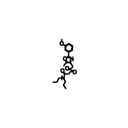 CCCN(CCC)C(=O)CS(=O)(=O)Cc1nc(-c2cccc(OC)c2)oc1C